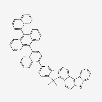 CC1(C)c2ccc(-c3ccc(-c4c5ccccc5c(-c5cccc6ccccc56)c5ccccc45)c4ccccc34)cc2-c2ccc3c(ccc4sc5ccccc5c43)c21